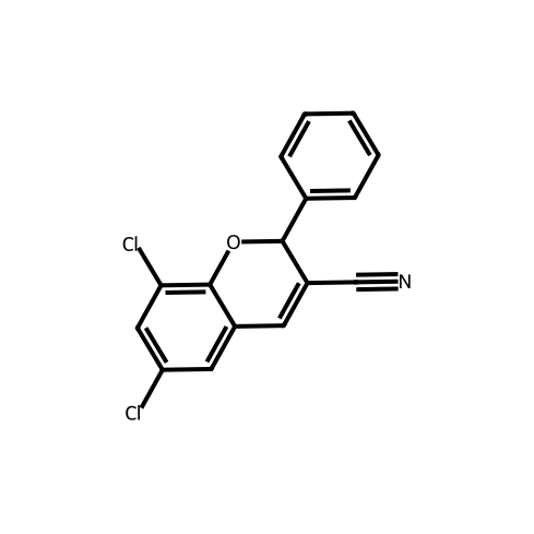 N#CC1=Cc2cc(Cl)cc(Cl)c2OC1c1ccccc1